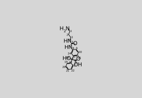 NCCCNC(=O)Nc1cccc(C(O)(C(=O)O)c2ccccc2)c1